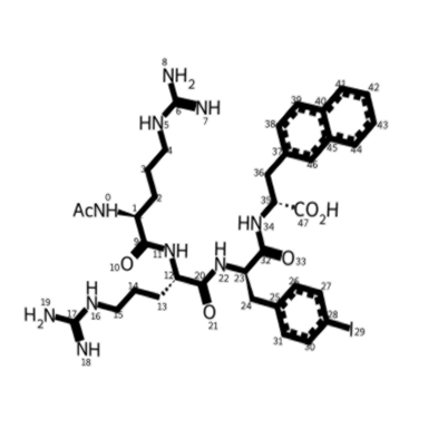 CC(=O)N[C@@H](CCCNC(=N)N)C(=O)N[C@@H](CCCNC(=N)N)C(=O)N[C@H](Cc1ccc(I)cc1)C(=O)N[C@H](Cc1ccc2ccccc2c1)C(=O)O